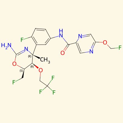 C[C@]1(c2cc(NC(=O)c3cnc(OCF)cn3)ccc2F)N=C(N)O[C@H](CF)[C@@H]1OCC(F)(F)F